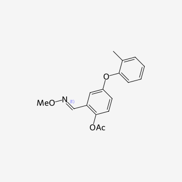 CO/N=C/c1cc(Oc2ccccc2C)ccc1OC(C)=O